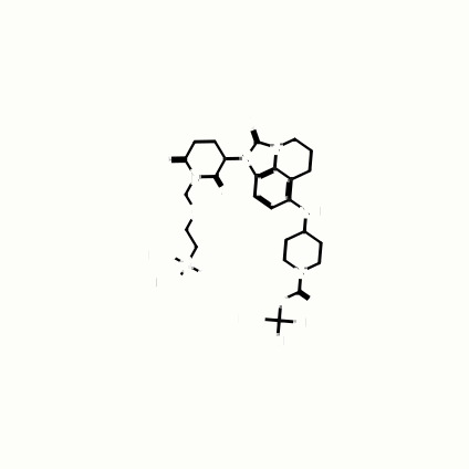 CC(C)(C)OC(=O)N1CCC(Nc2ccc3c4c2CCCn4c(=O)n3C2CCC(=O)N(COCC[Si](C)(C)C)C2=O)CC1